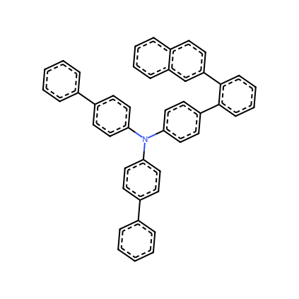 c1ccc(-c2ccc(N(c3ccc(-c4ccccc4)cc3)c3ccc(-c4ccccc4-c4ccc5ccccc5c4)cc3)cc2)cc1